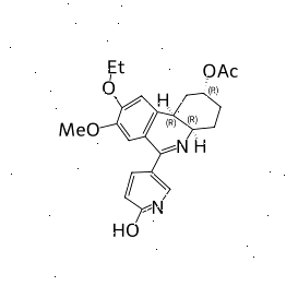 CCOc1cc2c(cc1OC)C(c1ccc(O)nc1)=N[C@@H]1CC[C@@H](OC(C)=O)C[C@H]21